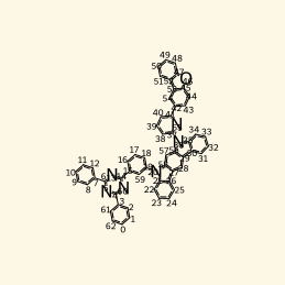 c1ccc(-c2nc(-c3ccccc3)nc(-c3cccc(-n4c5ccccc5c5cc6c7ccccc7n(-c7cccc(-c8ccc9oc%10ccccc%10c9c8)n7)c6cc54)c3)n2)cc1